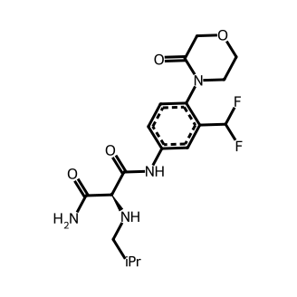 CC(C)CN[C@@H](C(N)=O)C(=O)Nc1ccc(N2CCOCC2=O)c(C(F)F)c1